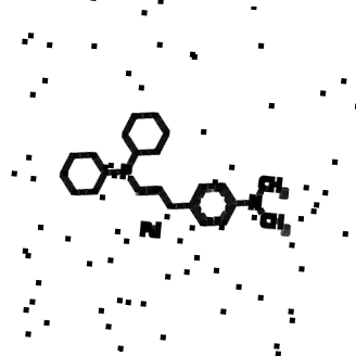 CN(C)c1ccc(CC=CP(C2CCCCC2)C2CCCCC2)cc1.[Pd]